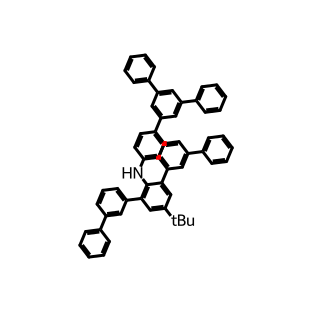 CC(C)(C)c1cc(-c2cccc(-c3ccccc3)c2)c(Nc2ccc(-c3cc(-c4ccccc4)cc(-c4ccccc4)c3)cc2)c(-c2cccc(-c3ccccc3)c2)c1